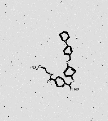 CCCCCCC(Oc1ccc(OCc2ccc(-c3ccccc3)cc2)cc1)c1ccc(C(=O)NCCC(=O)O)cc1